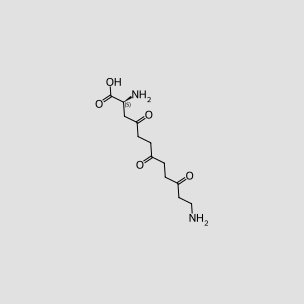 NCCC(=O)CCC(=O)CCC(=O)C[C@H](N)C(=O)O